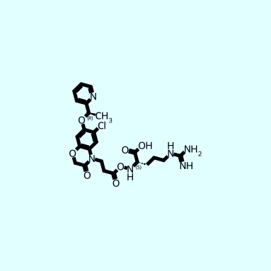 C[C@@H](Oc1cc2c(cc1Cl)N(CCC(=O)ON[C@@H](CCCNC(=N)N)C(=O)O)C(=O)CO2)c1ccccn1